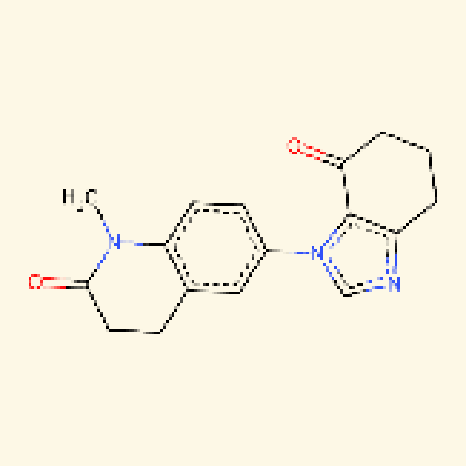 CN1C(=O)CCc2cc(-n3cnc4c3C(=O)CCC4)ccc21